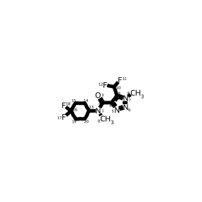 CN(C(=O)c1nnn(C)c1C(F)F)C1CCC(F)(F)CC1